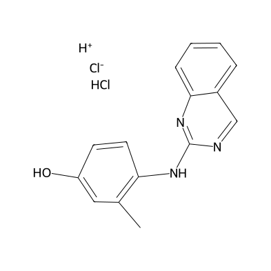 Cc1cc(O)ccc1Nc1ncc2ccccc2n1.Cl.[Cl-].[H+]